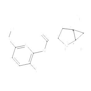 Cc1ccc(OC(F)(F)F)nc1NC(=O)[C@@H]1C[C@@]2(C)C[C@H]2N1